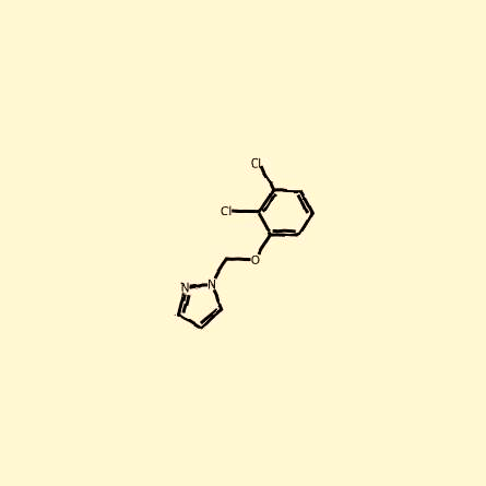 Clc1cccc(OCn2cc[c]n2)c1Cl